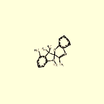 CC1=Nc2ccccc2OC12N(C)c1cccc(C)c1C2(C)C